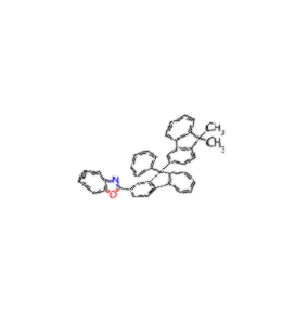 CC1(C)c2ccccc2-c2cc(C3(c4ccccc4)c4ccccc4-c4ccc(-c5nc6ccccc6o5)cc43)ccc21